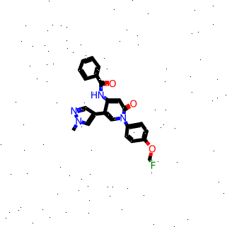 Cn1cc(-c2cn(-c3ccc(OCF)cc3)c(=O)cc2NC(=O)c2ccccc2)cn1